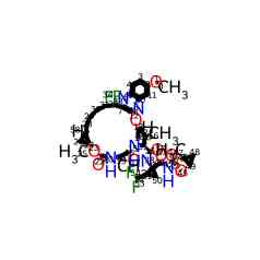 COc1ccc2nc3c(nc2c1)O[C@H]1CN(C(=O)[C@H](C)NC(=O)O[C@@]2(C)C[C@@H]2CCCCC3(F)F)[C@H](C(=O)N[C@]2(C(=O)NS(=O)(=O)C3(C)CC3)CC2C(F)F)[C@@H]1C